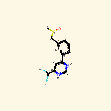 C[S+]([O-])Cc1cccc(-c2cc(C(F)F)n[c]n2)c1